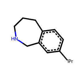 CC(C)c1ccc2c(c1)CNCCC2